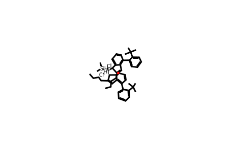 CCCCC1=Cc2c(-c3ccccc3C(C)(C)C)cccc2[CH]1[Hf]([Cl])([Cl])([CH]1C(CCCC)=Cc2c(-c3ccccc3C(C)(C)C)cccc21)[SiH](C)C